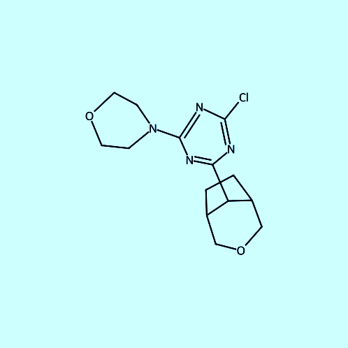 Clc1nc(C2C3CCC2COC3)nc(N2CCOCC2)n1